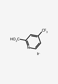 O=C(O)c1cc(C(F)(F)F)ccn1.[Ir]